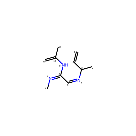 C=CC(C)/N=C\C(=N/C)NC(=C)C